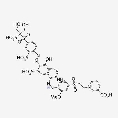 COc1cc(S(=O)(=O)CC[n+]2cccc(C(=O)O)c2)ccc1/N=N\c1c(N)ccc2c(O)c(N=Nc3ccc(S(=O)(=O)C(CO)(CO)S(=O)(=O)O)cc3S(=O)(=O)O)c(S(=O)(=O)O)cc12